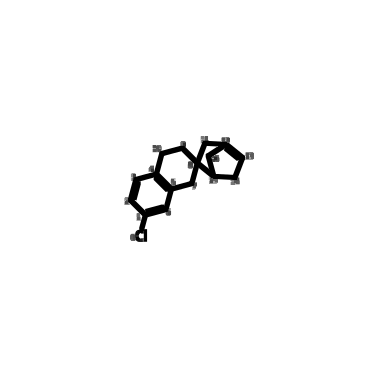 Clc1ccc2c(c1)CC1(CC2)CC2=CCC1C2